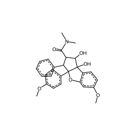 COc1ccc(C23Oc4cc(OC)ccc4C2(O)C(O)C(C(=O)N(C)C)C3c2ccccc2)cc1